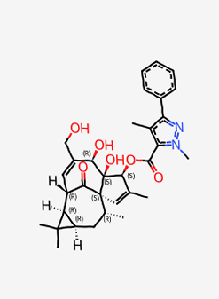 CC1=C[C@]23C(=O)[C@@H](C=C(CO)[C@@H](O)[C@]2(O)[C@H]1OC(=O)c1c(C)c(-c2ccccc2)nn1C)[C@H]1[C@@H](C[C@H]3C)C1(C)C